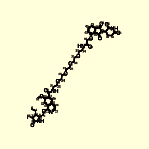 CC[C@@H]1[C@H](F)C(=O)N[C@@H]1COc1nccc2cc(C(=O)NCCOCCOCCOCCOCCNC(=O)COc3cccc4c3C(=O)N(C3CCC(=O)NC3=O)C4=O)c(OC)cc12